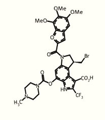 COc1cc2cc(C(=O)N3C[C@@H](CBr)c4c3cc(OC(=O)N3CCN(C)CC3)c3[nH]c(C(F)(F)F)c(C(=O)O)c43)oc2c(OC)c1OC